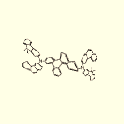 CC1(C)c2ccccc2-c2ccc(N(c3ccc4c(ccc5c6ccc(N(c7ccc8c(c7)C(C)(C)c7ccccc7-8)c7ccc8ccc9ccccc9c8c7)cc6c6ccccc6c45)c3)c3ccc4ccc5ccccc5c4c3)cc21